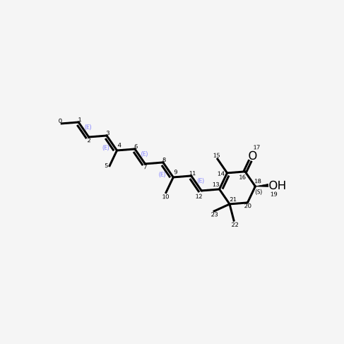 C/C=C/C=C(C)/C=C/C=C(C)/C=C/C1=C(C)C(=O)[C@@H](O)CC1(C)C